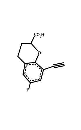 C#Cc1cc(F)cc2c1OC(C(=O)O)CC2